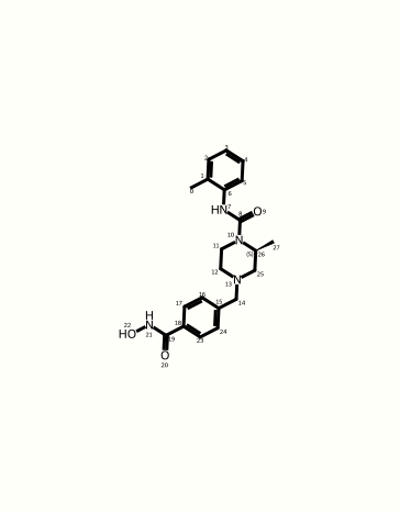 Cc1ccccc1NC(=O)N1CCN(Cc2ccc(C(=O)NO)cc2)C[C@@H]1C